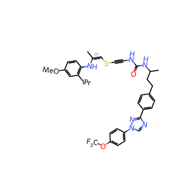 COc1ccc(N/C(C)=C\SC#CNC(=O)NC(C)CCc2ccc(-c3ncn(-c4ccc(OC(F)(F)F)cc4)n3)cc2)c(C(C)C)c1